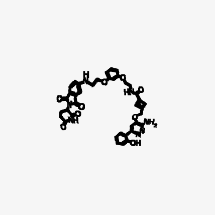 Nc1nnc(-c2ccccc2O)cc1OCC12CC(C(=O)NCCOc3cccc(OCCNc4ccc5c(c4)C(=O)N(C4CCC(=O)NC4=O)C5=O)c3)(C1)C2